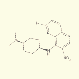 CN(C)[C@H]1CC[C@@H](Nc2c([N+](=O)[O-])cnc3ccc(I)cc23)CC1